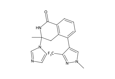 Cn1cc(-c2cccc3c2CC(C)(n2ccnc2)NC3=O)c(C(F)(F)F)n1